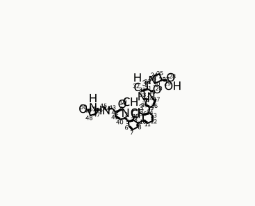 COc1nc(-c2cccc(-c3cccc(-c4ccn5c(=O)c(CN6CCC(C(=O)O)C6)c(C)nc5c4)c3Cl)c2Cl)ccc1CNC[C@@H]1CCC(=O)N1